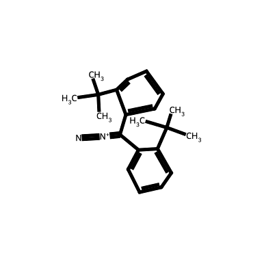 CC(C)(C)c1ccccc1C(=[N+]=[N-])c1ccccc1C(C)(C)C